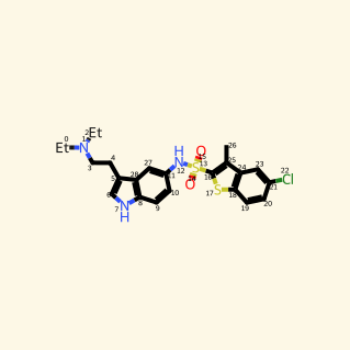 CCN(CC)CCc1c[nH]c2ccc(NS(=O)(=O)c3sc4ccc(Cl)cc4c3C)cc12